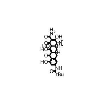 CN(C)[C@@H]1C(O)=C(C(N)=O)C(=O)[C@@]2(O)C(O)=C3C(=O)c4c(O)cc(NC(=O)C(C)(C)C)cc4C[C@H]3C[C@@H]12